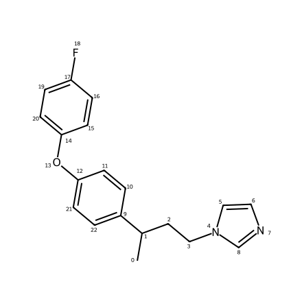 CC(CCn1ccnc1)c1ccc(Oc2ccc(F)cc2)cc1